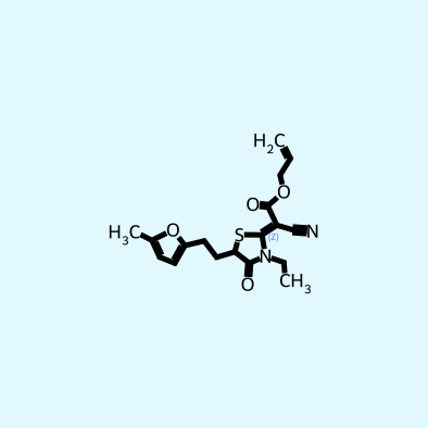 C=CCOC(=O)/C(C#N)=C1\SC(CCc2ccc(C)o2)C(=O)N1CC